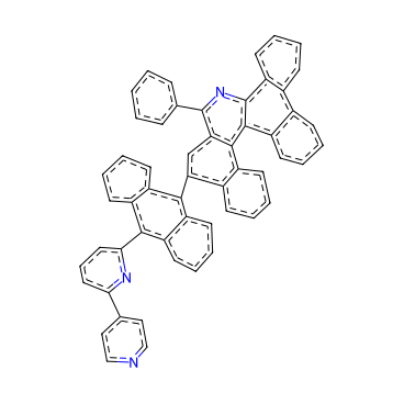 c1ccc(-c2nc3c4ccccc4c4ccccc4c3c3c2cc(-c2c4ccccc4c(-c4cccc(-c5ccncc5)n4)c4ccccc24)c2ccccc23)cc1